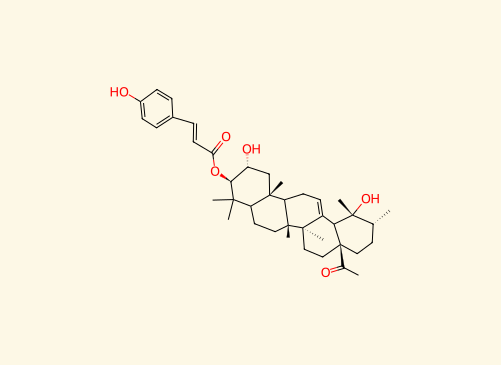 CC(=O)[C@]12CC[C@@H](C)[C@@](C)(O)C1C1=CCC3[C@@]4(C)C[C@@H](O)[C@H](OC(=O)/C=C/c5ccc(O)cc5)C(C)(C)C4CC[C@@]3(C)[C@]1(C)CC2